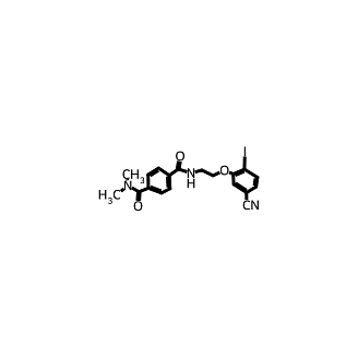 CN(C)C(=O)c1ccc(C(=O)NCCOc2cc(C#N)ccc2I)cc1